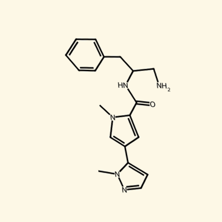 Cn1cc(-c2ccnn2C)cc1C(=O)NC(CN)Cc1ccccc1